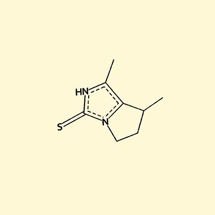 Cc1[nH]c(=S)n2c1C(C)CC2